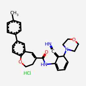 Cc1ccc(-c2ccc3c(c2)C=C(C(=O)NC2=CC=CC(N4CCOCC4)C2=C=N)CCO3)cc1.Cl